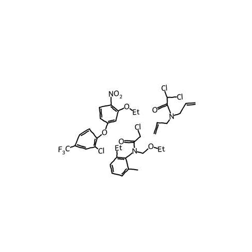 C=CCN(CC=C)C(=O)C(Cl)Cl.CCOCN(C(=O)CCl)c1c(C)cccc1CC.CCOc1cc(Oc2ccc(C(F)(F)F)cc2Cl)ccc1[N+](=O)[O-]